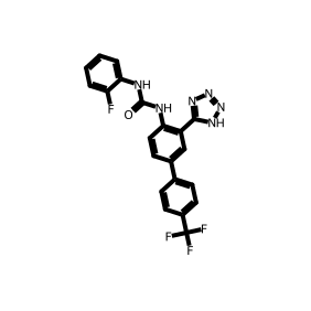 O=C(Nc1ccccc1F)Nc1ccc(-c2ccc(C(F)(F)F)cc2)cc1-c1nnn[nH]1